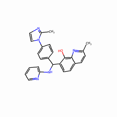 Cc1ccc2ccc(C(Nc3ccccn3)c3ccc(-n4ccnc4C)cc3)c(O)c2n1